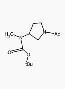 CC(=O)N1CCC(N(C)C(=O)OC(C)(C)C)C1